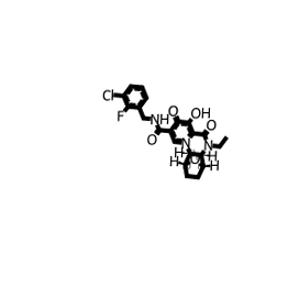 CCN1C(=O)c2c(O)c(=O)c(C(=O)NCc3cccc(Cl)c3F)cn2[C@H]2[C@@H]1[C@@H]1CC[C@H]2O1